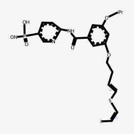 CC(C)Oc1cc(OCC/C=C/S/C=C\I)cc(C(=O)Nc2ccc(P(=O)(O)N=O)cn2)c1